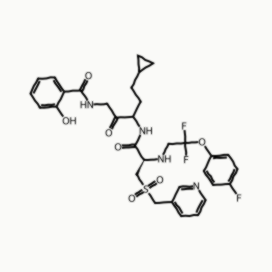 O=C(NCC(=O)C(CCC1CC1)NC(=O)[C@H](CS(=O)(=O)Cc1cccnc1)NCC(F)(F)Oc1ccc(F)cc1)c1ccccc1O